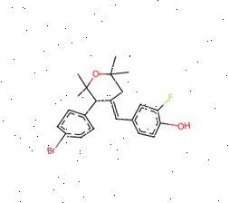 CC1(C)CC(=Cc2ccc(O)c(F)c2)C(c2ccc(Br)cc2)C(C)(C)O1